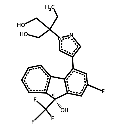 CCC(CO)(CO)n1cc(-c2cc(F)cc3c2-c2ccccc2[C@]3(O)C(F)(F)F)cn1